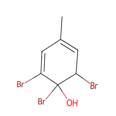 CC1=CC(Br)C(O)(Br)C(Br)=C1